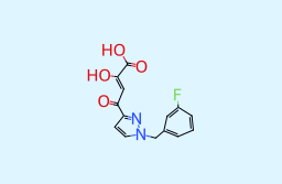 O=C(O)C(O)=CC(=O)c1ccn(Cc2cccc(F)c2)n1